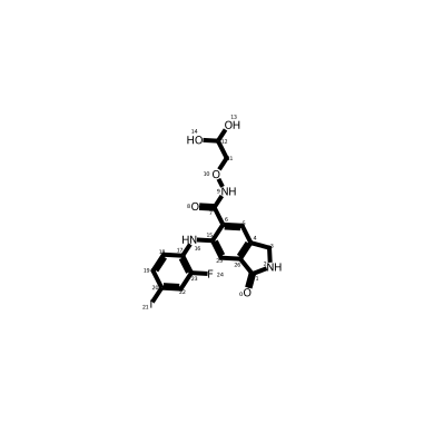 O=C1NCc2cc(C(=O)NOCC(O)O)c(Nc3ccc(I)cc3F)cc21